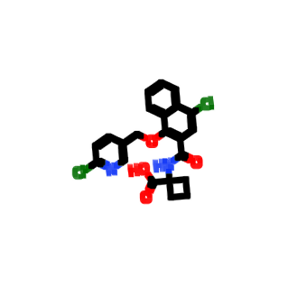 O=C(NC1(C(=O)O)CCC1)c1cc(Cl)c2ccccc2c1OCc1ccc(Cl)nc1